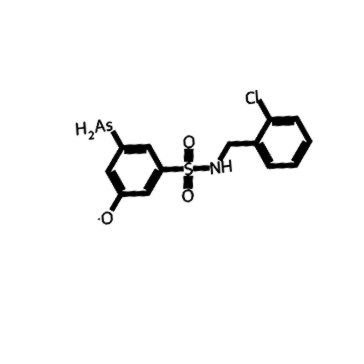 [O]c1cc([AsH2])cc(S(=O)(=O)NCc2ccccc2Cl)c1